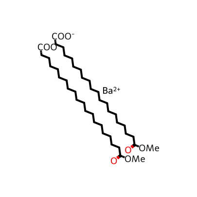 COC(=O)CCCCCCCCCCCCCCCCCCC(=O)[O-].COC(=O)CCCCCCCCCCCCCCCCCCC(=O)[O-].[Ba+2]